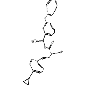 CC(C)C(C=Cc1ccc(C2CC2)cc1)C(=O)OC(C#N)c1cccc(Oc2ccccc2)n1